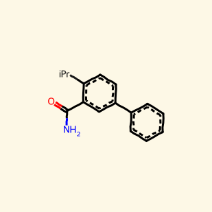 CC(C)c1ccc(-c2ccccc2)cc1C(N)=O